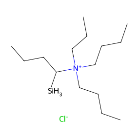 CCCC[N+](CCC)(CCCC)C([SiH3])CCC.[Cl-]